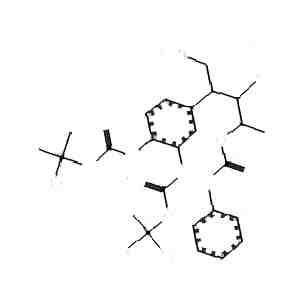 CCC(C)(C)OC(=O)Oc1ccc(C(C(C)C(C)OC(=O)Oc2ccccc2)[C@H](N)C(=O)O)cc1OC(=O)OC(C)(C)CC